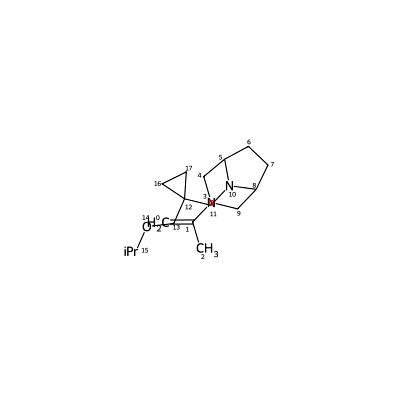 C=C(C)N1CC2CCC(C1)N2CC1(COC(C)C)CC1